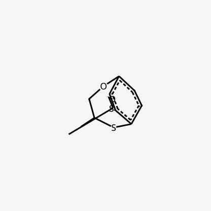 CC1COc2ccc(c3c2OCC(C)S3)S1